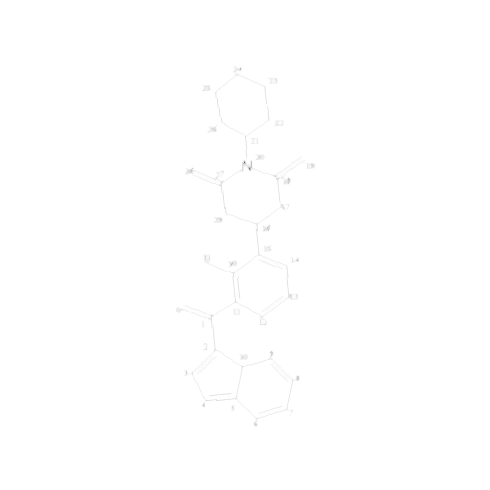 C=C(C1=CC=C2C=CC=CC21)c1cccc(C2CC(=C)N(C3CCCCC3)C(=C)C2)c1C